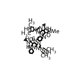 CNC(=O)c1c(NC2CC2)c2ncc(N3CC(C)NC(C)C3)nc2n2c1nc1ccc(N(C)c3c(C(=O)NC4CC4)c4nc5ccccc5n4c4nc(N5CC(C)NC(C)C5)cnc34)cc12